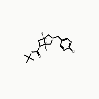 CC(C)(C)OC(=O)N1C[C@H]2CN(Cc3cnc(Cl)nc3)C[C@H]21